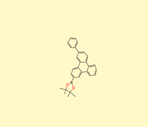 CC1(C)OB(c2ccc3c(c2)c2ccccc2c2ccc(-c4ccccc4)cc23)OC1(C)C